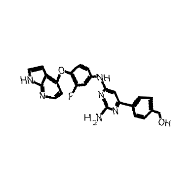 Nc1nc(Nc2ccc(Oc3ccnc4[nH]ccc34)c(F)c2)cc(-c2ccc(CO)cc2)n1